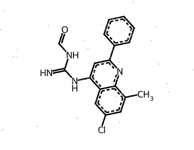 Cc1cc(Cl)cc2c(NC(=N)NC=O)cc(-c3ccccc3)nc12